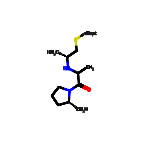 CCCCCCCSC[C@H](NC(C)C(=O)N1CCC[C@H]1C(=O)O)C(=O)O